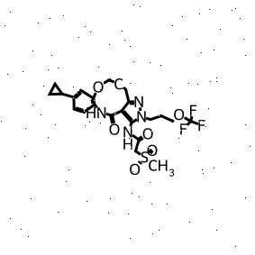 CS(=O)(=O)CC(=O)Nc1c2c(nn1CCCOC(F)(F)F)CCCOc1cc(C3CC3)ccc1NC2=O